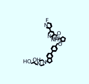 Nc1ncc(-c2ccc(F)nc2)cc1C(=O)N[C@H]1CCC[C@@H]1OCc1ccc(-c2ccc3c(c2)CC[C@@H]3N2CCN(CC(O)CO)CC2)cc1